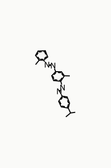 Cc1ccccc1N=Nc1ccc(N=Nc2ccc(C(C)C)cc2)c(C)c1